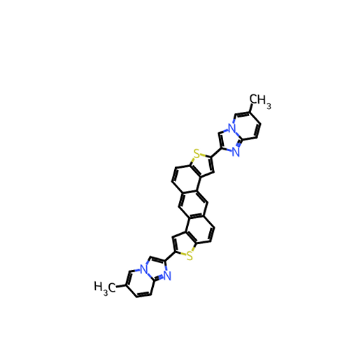 Cc1ccc2nc(-c3cc4c(ccc5cc6c(ccc7sc(-c8cn9cc(C)ccc9n8)cc76)cc54)s3)cn2c1